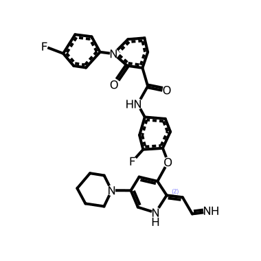 N=C/C=C1\NC=C(N2CCCCC2)C=C1Oc1ccc(NC(=O)c2cccn(-c3ccc(F)cc3)c2=O)cc1F